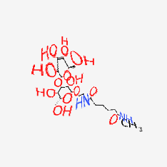 CNC(=O)CCCCC(=O)NCCO[C@H]1O[C@H](CO)[C@@H](O)[C@H](O[C@H]2O[C@H](CO)[C@@H](O)[C@H](O)[C@@H]2O)[C@@H]1O